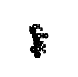 Cc1cc(COc2cc(/C=C/c3cccc(-c4ccccc4)c3C)c(C(F)(F)F)cc2C=O)ccn1